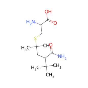 CC(C)(CC(C(N)=O)C(C)(C)C)SCC(N)C(=O)O